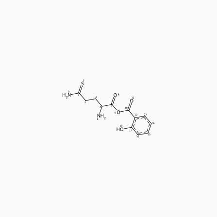 NC(=S)CCC(N)C(=O)OC(=O)c1ccccc1O